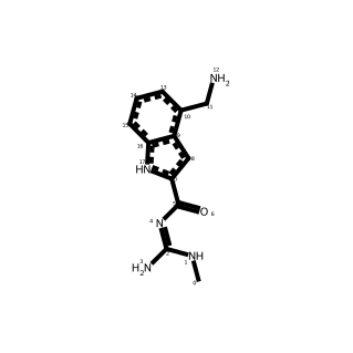 CNC(N)=NC(=O)c1cc2c(CN)cccc2[nH]1